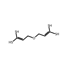 SC(S)=CCOCC=C(S)S